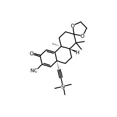 CC1(C)[C@@H]2CC[C@@]3(C#C[Si](C)(C)C)C=C(C#N)C(=O)C=C3[C@@]2(C)CCC12OCCO2